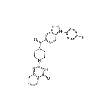 O=C(c1ccc2c(ccn2-c2ccc(F)cc2)c1)N1CCN(c2nc3ccccc3c(=O)[nH]2)CC1